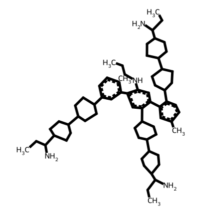 CCCNc1cc(-c2cc(C)ccc2C2CCC(C3CCC(C(N)CC)CC3)CC2)c(C2CCC(C3CCC(C(N)CC)CC3)CC2)cc1-c1cc(C2CCC(C3CCC(C(N)CC)CC3)CC2)ccc1C